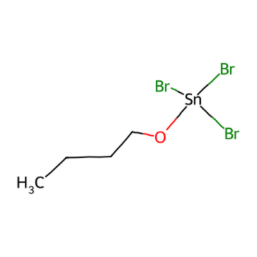 CCCC[O][Sn]([Br])([Br])[Br]